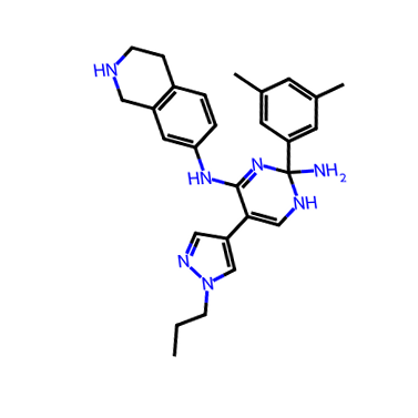 CCCn1cc(C2=CNC(N)(c3cc(C)cc(C)c3)N=C2Nc2ccc3c(c2)CNCC3)cn1